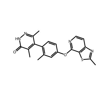 Cc1nc2ccnc(Oc3ccc(-c4c(C)n[nH]c(=O)c4C)c(C)c3)c2s1